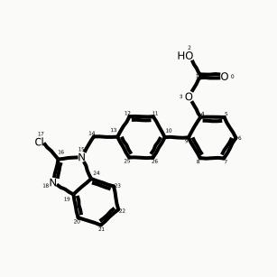 O=C(O)Oc1ccccc1-c1ccc(Cn2c(Cl)nc3ccccc32)cc1